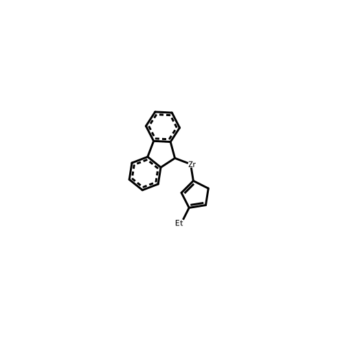 CCC1=CC[C]([Zr][CH]2c3ccccc3-c3ccccc32)=C1